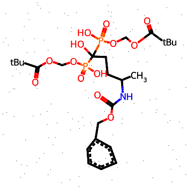 CC(CCC(O)(P(=O)(O)OCOC(=O)C(C)(C)C)P(=O)(O)OCOC(=O)C(C)(C)C)NC(=O)OCc1ccccc1